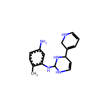 Cc1ccc(N)cc1NC1NC=CC(C2=CC=CNC2)N1